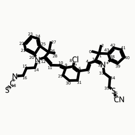 CC1(C)C(/C=C/C2=C(Cl)C(=C/C=C3/N(CCCN=C=S)c4ccccc4C3(C)C)/CCC2)=[N+](CCCSC#N)c2ccccc21